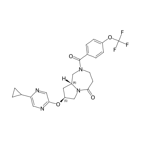 O=C(c1ccc(OC(F)(F)F)cc1)N1CCC(=O)N2C[C@@H](Oc3cnc(C4CC4)cn3)C[C@@H]2C1